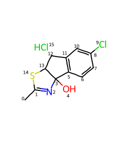 CC1=NC2(O)c3ccc(Cl)cc3CC2S1.Cl